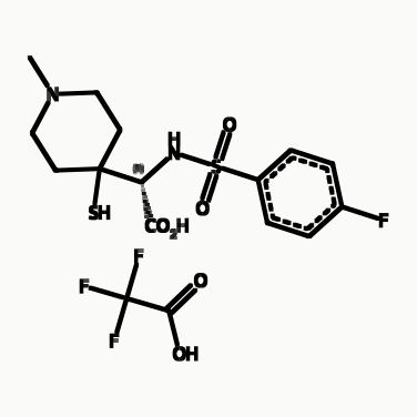 CN1CCC(S)([C@H](NS(=O)(=O)c2ccc(F)cc2)C(=O)O)CC1.O=C(O)C(F)(F)F